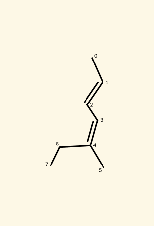 CC=CC=C(C)CC